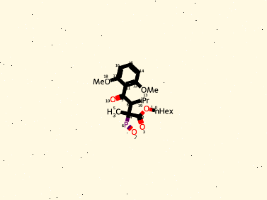 CCCCCCOC(=O)C(C)(P=O)C(C(=O)c1c(OC)cccc1OC)C(C)C